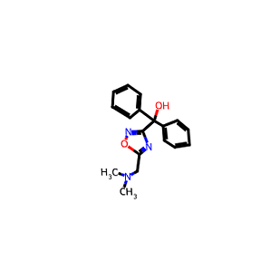 CN(C)Cc1nc(C(O)(c2ccccc2)c2ccccc2)no1